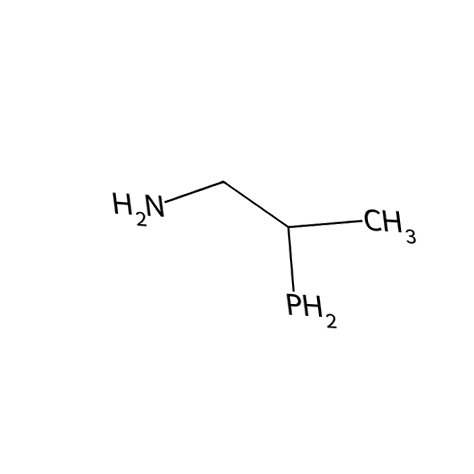 CC(P)CN